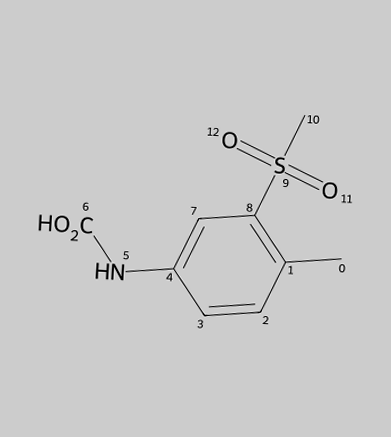 Cc1ccc(NC(=O)O)cc1S(C)(=O)=O